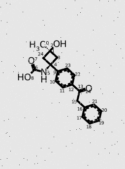 C[C@]1(O)C[C@](NC(=O)O)(c2ccc(C(=O)Cc3ccccc3)cc2)C1